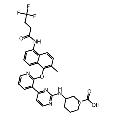 Cc1ccc2c(NC(=O)CCC(F)(F)F)cccc2c1Oc1ncccc1-c1ccnc(NC2CCCN(C(=O)O)C2)n1